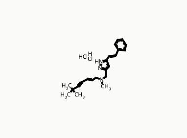 CN(CC=CC#CC(C)(C)C)Cc1cc(C=Cc2ccccc2)[nH]n1.Cl.Cl